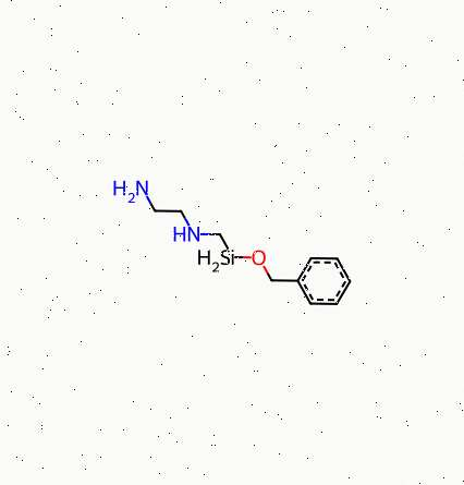 NCCNC[SiH2]OCc1ccccc1